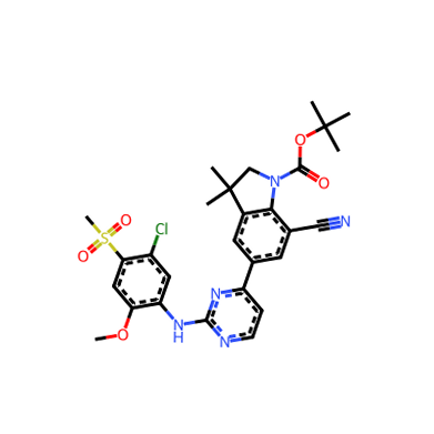 COc1cc(S(C)(=O)=O)c(Cl)cc1Nc1nccc(-c2cc(C#N)c3c(c2)C(C)(C)CN3C(=O)OC(C)(C)C)n1